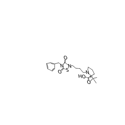 CC(C)(C)[C@@]1(C(=O)O)CCCN1CCCCn1sc(=O)n(Cc2ccccc2)c1=O